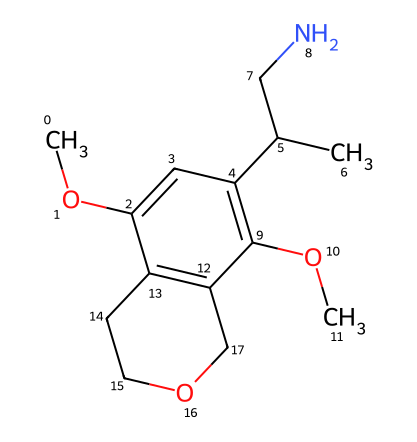 COc1cc(C(C)CN)c(OC)c2c1CCOC2